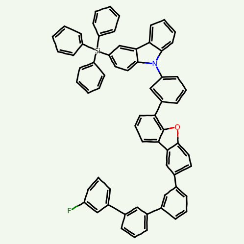 Fc1cccc(-c2cccc(-c3cccc(-c4ccc5oc6c(-c7cccc(-n8c9ccccc9c9cc([Si](c%10ccccc%10)(c%10ccccc%10)c%10ccccc%10)ccc98)c7)cccc6c5c4)c3)c2)c1